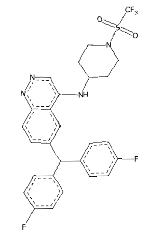 O=S(=O)(N1CCC(Nc2cnnc3ccc(C(c4ccc(F)cc4)c4ccc(F)cc4)cc23)CC1)C(F)(F)F